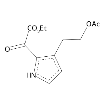 CCOC(=O)C(=O)c1[nH]ccc1CCOC(C)=O